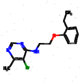 CCc1ccccc1OCCNc1ncnc(C)c1Br